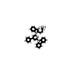 C#C/C=C\c1c(C)c2ccccc2n1-c1cc(-c2ccccc2)cc(-n2c3ccccc3c3ccccc32)n1